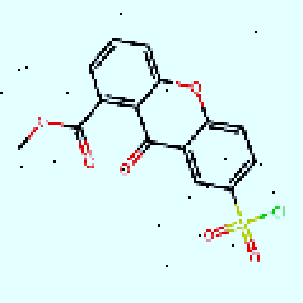 COC(=O)c1cccc2oc3ccc(S(=O)(=O)Cl)cc3c(=O)c12